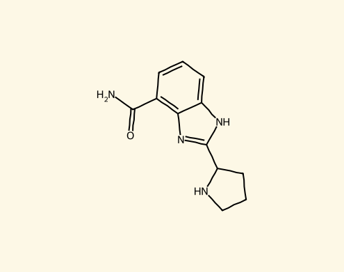 NC(=O)c1cccc2[nH]c(C3CCCN3)nc12